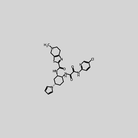 CN1CCc2nc(C(=O)N[C@@H]3C[C@@H](n4cccc4)CC[C@@H]3NC(=O)C(=O)Nc3ccc(Cl)cn3)sc2C1